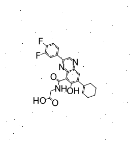 O=C(O)CNC(=O)c1c(O)c(C2=CCCCC2)cc2ncc(-c3ccc(F)c(F)c3)nc12